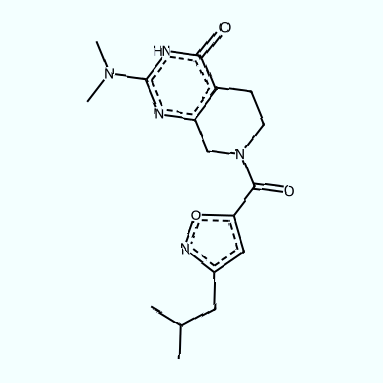 CC(C)Cc1cc(C(=O)N2CCc3c(nc(N(C)C)[nH]c3=O)C2)on1